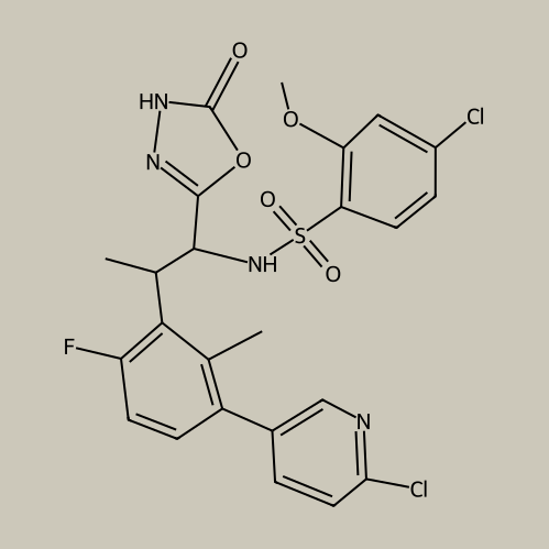 COc1cc(Cl)ccc1S(=O)(=O)NC(c1n[nH]c(=O)o1)C(C)c1c(F)ccc(-c2ccc(Cl)nc2)c1C